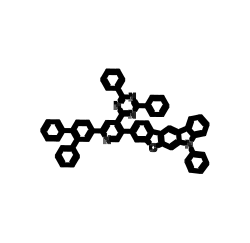 c1ccc(-c2nc(-c3ccccc3)nc(-c3cc(-c4ccc(-c5ccccc5)c(-c5ccccc5)c4)ncc3-c3ccc4c(c3)oc3cc5c(cc34)c3ccccc3n5-c3ccccc3)n2)cc1